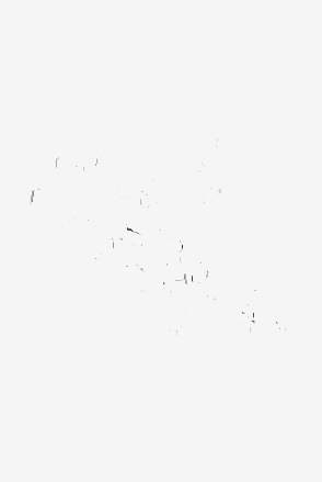 CC(=O)N1CCC(O)(C(=O)N2CC[C@](c3ccc(C(F)(C(F)(F)F)C(F)(F)F)cc3)(S(=O)(=O)c3ccc(F)cc3)C2)CC1